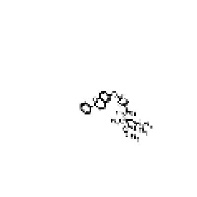 COC(=O)C(C)(CC(C)C)NC(=O)c1cnc(Oc2ccc3c(c2)CC[C@@H](c2ccccc2)O3)s1